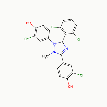 CN1C(c2ccc(O)c(Cl)c2)=NC(c2c(F)cccc2Cl)N1c1ccc(O)c(Cl)c1